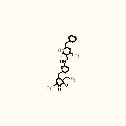 Cc1cc(Cc2cccc(NCc3c(C)cc(Cc4ccccc4)[nH]c3=O)c2)c(CN)c(=O)[nH]1